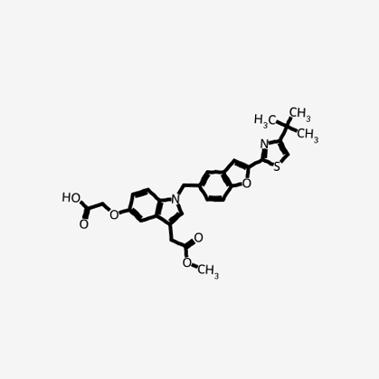 COC(=O)Cc1cn(Cc2ccc3oc(-c4nc(C(C)(C)C)cs4)cc3c2)c2ccc(OCC(=O)O)cc12